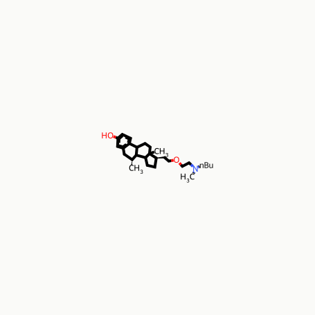 CCCCN(C)CCOCC[C@H]1CCC2C3C(CCC21C)c1ccc(O)cc1C[C@H]3C